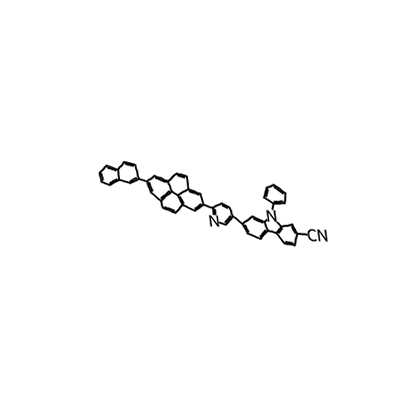 N#Cc1ccc2c3ccc(-c4ccc(-c5cc6ccc7cc(-c8ccc9ccccc9c8)cc8ccc(c5)c6c78)nc4)cc3n(-c3ccccc3)c2c1